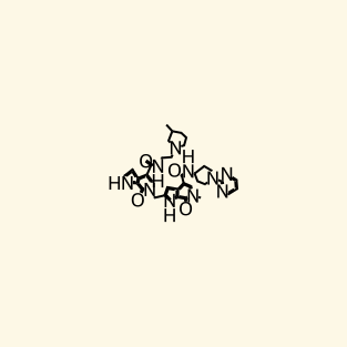 CC1CCCN(CCNC(=O)c2cn(Cc3cc4c(C(=O)NC5CCN(c6ncccn6)CC5)cn(C)c(=O)c4[nH]3)c(=O)c3[nH]ccc23)C1